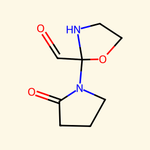 O=CC1(N2CCCC2=O)NCCO1